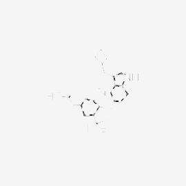 O=C(O)Cc1cc(Br)c(Oc2ccc3[nH]cc(CC4CCC4)c3c2)c(C(F)(F)F)c1